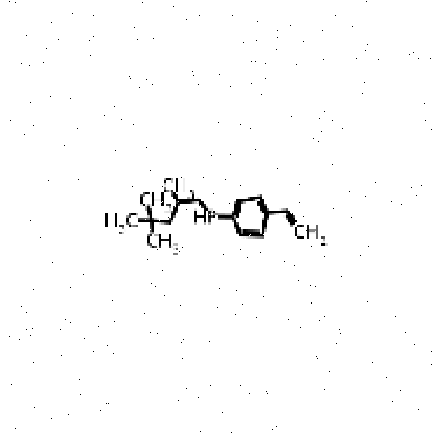 C=Cc1ccc(PCC(C)CC(C)(C)C)cc1